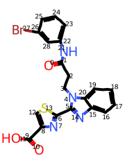 O=C(CCn1c(-c2nc(C(=O)O)cs2)nc2ccccc21)Nc1cccc(Br)c1